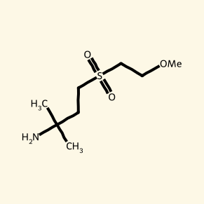 COCCS(=O)(=O)CCC(C)(C)N